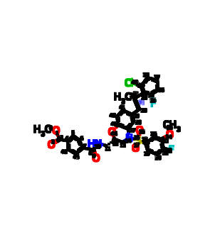 COC(=O)c1ccc(C(=O)NC[C@H]2CN(S(=O)(=O)c3ccc(F)c(OC)c3)c3cc(/C=C(\C)c4c(F)cccc4Cl)ccc3O2)cc1